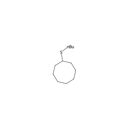 CCCCSC1CCCCCCC1